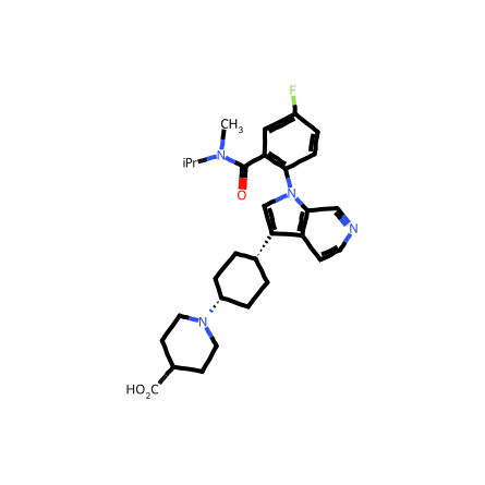 CC(C)N(C)C(=O)c1cc(F)ccc1-n1cc([C@H]2CC[C@@H](N3CCC(C(=O)O)CC3)CC2)c2ccncc21